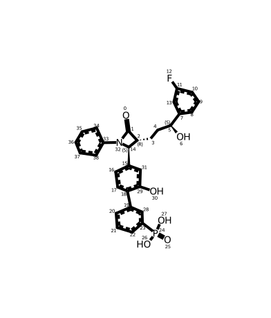 O=C1[C@H](CC[C@H](O)c2cccc(F)c2)[C@@H](c2ccc(-c3cccc(P(=O)(O)O)c3)c(O)c2)N1c1ccccc1